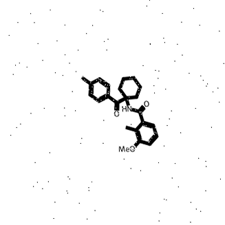 COc1cccc(C(=O)NC2(C(=O)c3ccc(C)cc3)CCCCC2)c1C